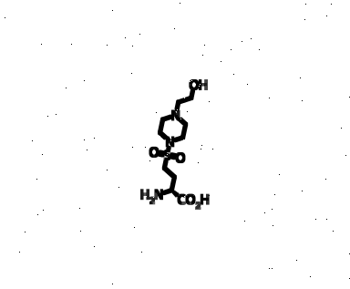 N[C@@H](CCS(=O)(=O)N1CCN(CCO)CC1)C(=O)O